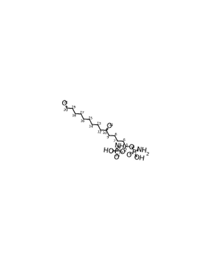 NP(=O)(O)OC(CCCCC(=O)CCCCCCCCC=O)OP(N)(=O)O